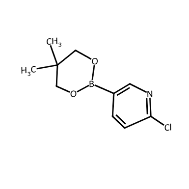 CC1(C)COB(c2ccc(Cl)nc2)OC1